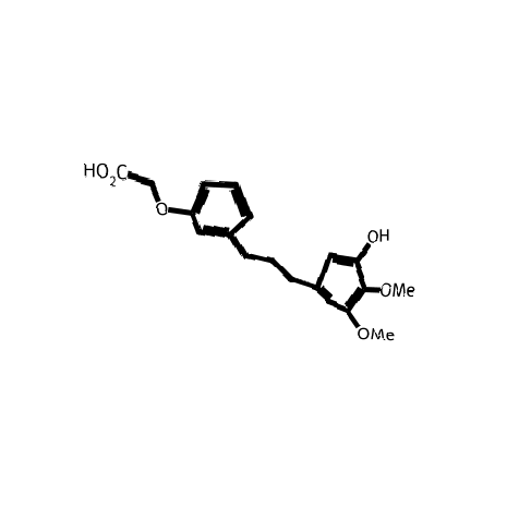 COc1cc(CCCc2cccc(OCC(=O)O)c2)cc(O)c1OC